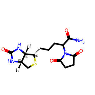 NC(=O)C(CCC[C@@H]1SC[C@@H]2NC(=O)N[C@@H]21)N1C(=O)CCC1=O